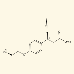 CC#C[C@@H](CC(=O)OC)c1ccc(OCC[C@H](C)CC)cc1